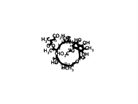 C/C1=C/C=C/C(C(C)OC(=O)[C@@H](C)CC(=O)O)CC[C@@H](O)CC[C@H](C)C/C=C/OCC(=O)c2c(O)c(C)c(O)c3c(O)c(cc(OCC(=O)O)c23)NC1=O